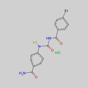 CCc1ccc(C(=O)NC(=O)N(S)c2ccc(C(N)=O)cc2)cc1.Cl